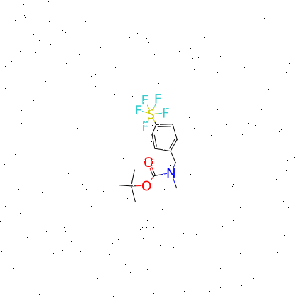 CN(Cc1ccc(S(F)(F)(F)(F)F)cc1)C(=O)OC(C)(C)C